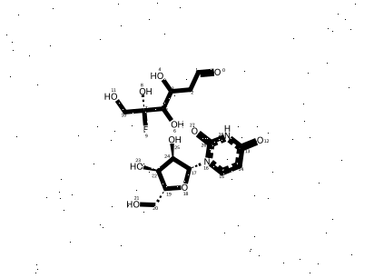 O=CCC(O)C(O)[C@@](O)(F)CO.O=c1ccn([C@@H]2O[C@H](CO)[C@@H](O)[C@H]2O)c(=O)[nH]1